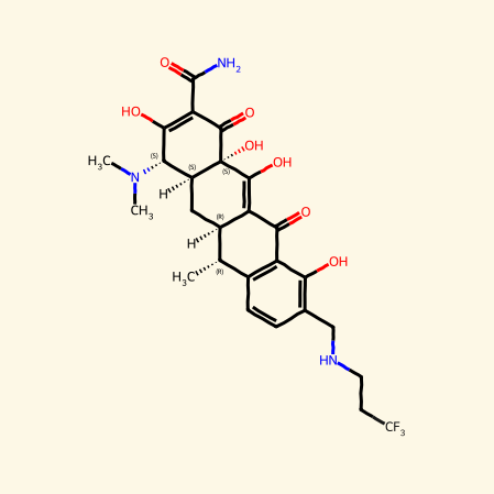 C[C@H]1c2ccc(CNCCC(F)(F)F)c(O)c2C(=O)C2=C(O)[C@]3(O)C(=O)C(C(N)=O)=C(O)[C@@H](N(C)C)[C@@H]3C[C@@H]21